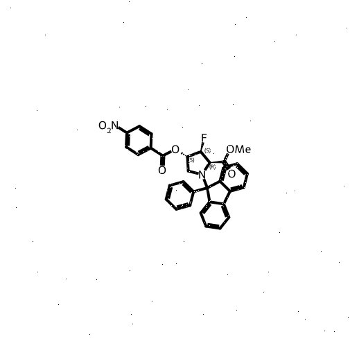 COC(=O)[C@@H]1[C@H](F)[C@@H](OC(=O)c2ccc([N+](=O)[O-])cc2)CN1C1(c2ccccc2)c2ccccc2-c2ccccc21